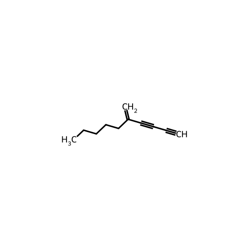 C#CC#CC(=C)CCCCC